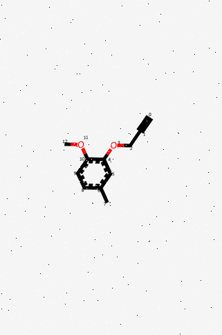 C#CCOc1cc([CH2])ccc1OC